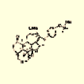 COC(=O)CC1C2(C)C3=C(C)[C@H](c4ccc(O[Si](C)(C)C(C)(C)C)cc4)CC3O[C@@H]2[C@@]23C[C@@]24[C@@](C)(C=CC(=O)[C@]14C)COCO3